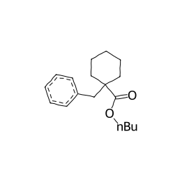 CCCCOC(=O)C1(Cc2ccccc2)CCCCC1